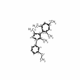 COc1cccc(-n2nc(C)c(-c3c(C)cc(C)cc3C)c2C)c1